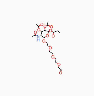 CCC(=O)O[C@H]1O[C@@H](OCCOCCOCCOCC=O)[C@H](NC(C)=O)[C@@H](OC(C)=O)[C@H]1OC(C)=O